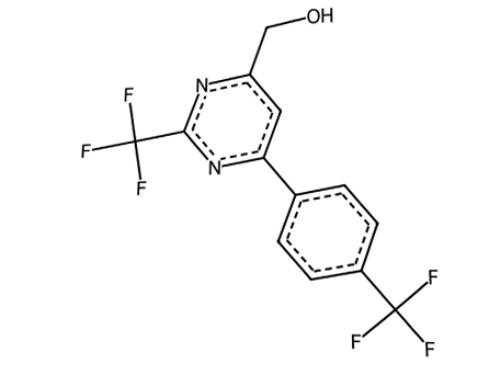 OCc1cc(-c2ccc(C(F)(F)F)cc2)nc(C(F)(F)F)n1